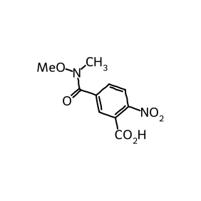 CON(C)C(=O)c1ccc([N+](=O)[O-])c(C(=O)O)c1